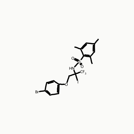 Cc1cc(C)c(S(=O)(=O)NC(I)(COc2ccc(Br)cc2)C(F)(F)F)c(C)c1